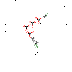 O=[Si]([O-])[O-].O=[Si]([O-])[O-].O=[Si]([O-])[O-].O=[Si]([O-])[O-].[Al+3].[Al+3].[Al+3].[Cl-].[Cl-].[Cl-].[Cl-].[Na+].[Na+].[Na+]